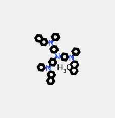 CC12C=CC=CC1=CC=C(N(c1ccccc1)c1ccc(N(c3ccc(N(c4ccccc4)c4ccc5ccccc5c4)cc3)c3ccc(N(c4ccccc4)c4ccc5ccccc5c4)cc3)cc1)C2